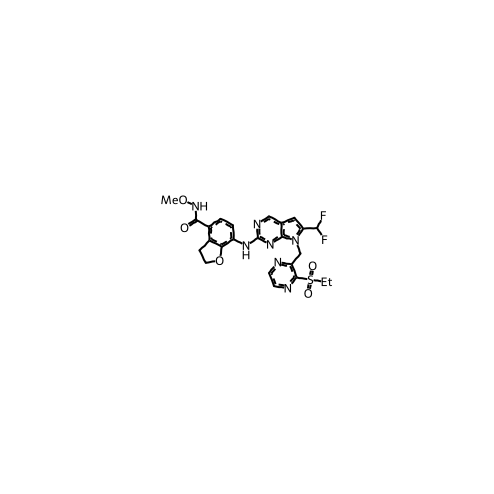 CCS(=O)(=O)c1nccnc1Cn1c(C(F)F)cc2cnc(Nc3ccc(C(=O)NOC)c4c3OCC4)nc21